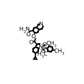 Cc1cc(C)c(S(=O)(=O)n2cc(C(=O)COc3cc4ccncc4cc3C(N)=O)c3ccc(C4CC4)cc32)c(C)c1